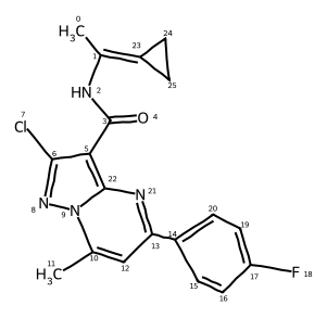 CC(NC(=O)c1c(Cl)nn2c(C)cc(-c3ccc(F)cc3)nc12)=C1CC1